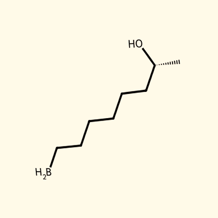 BCCCCCC[C@@H](C)O